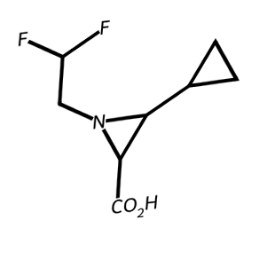 O=C(O)C1C(C2CC2)N1CC(F)F